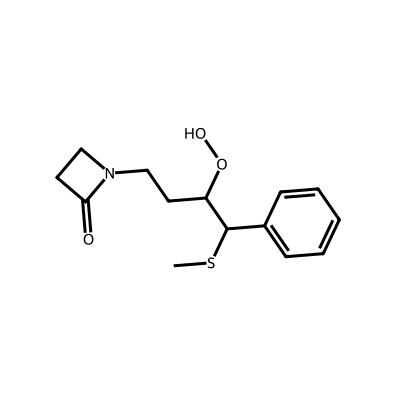 CSC(c1ccccc1)C(CCN1CCC1=O)OO